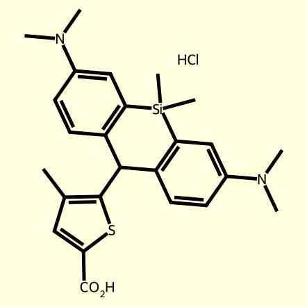 Cc1cc(C(=O)O)sc1C1c2ccc(N(C)C)cc2[Si](C)(C)c2cc(N(C)C)ccc21.Cl